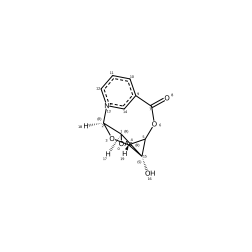 CC(=O)O[C@H]1[C@H]2O[C@@H]3C(OC(=O)c4ccc[n+]2c4)[C@@]31O